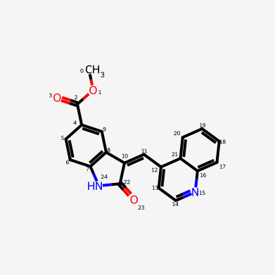 COC(=O)c1ccc2c(c1)C(=Cc1ccnc3ccccc13)C(=O)N2